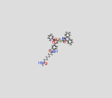 CNC(=O)CCCCCCC(=O)Nc1ccc(C2CC(CSc3nc(-c4ccccc4)c(-c4ccccc4)o3)OC(c3ccccc3)O2)cc1